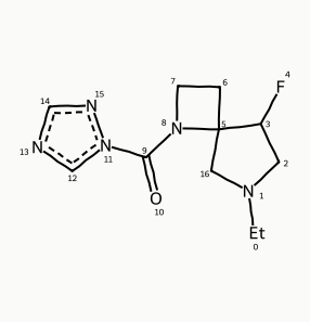 CCN1CC(F)C2(CCN2C(=O)n2cncn2)C1